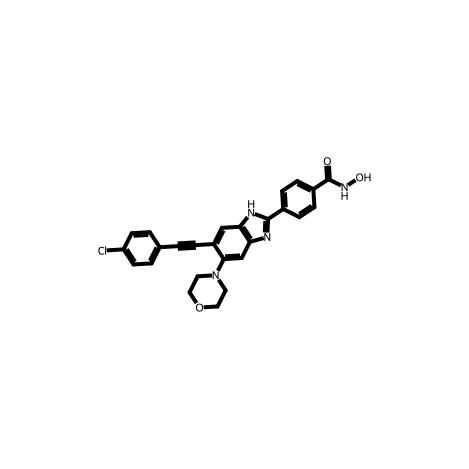 O=C(NO)c1ccc(-c2nc3cc(N4CCOCC4)c(C#Cc4ccc(Cl)cc4)cc3[nH]2)cc1